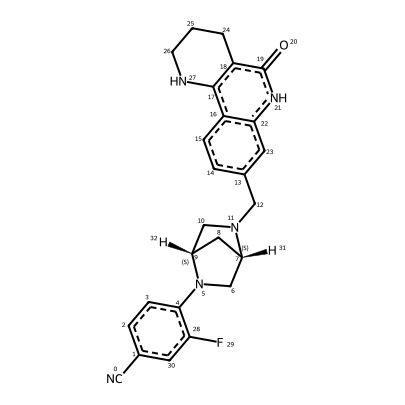 N#Cc1ccc(N2C[C@@H]3C[C@H]2CN3Cc2ccc3c4c(c(=O)[nH]c3c2)CCCN4)c(F)c1